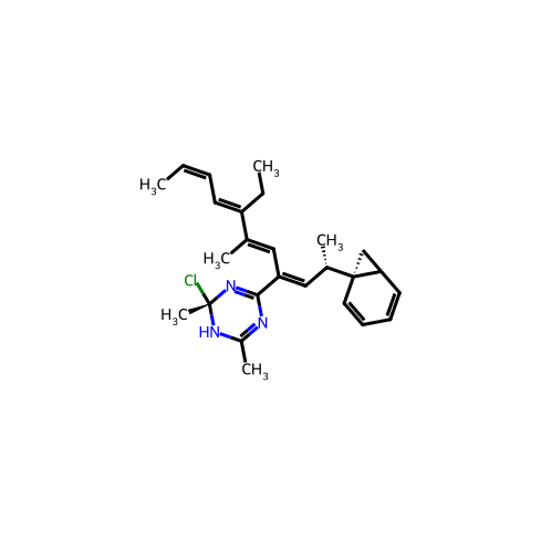 C\C=C/C=C(CC)/C(C)=C/C(=C\[C@H](C)[C@]12C=CC=CC1C2)C1=N[C@@](C)(Cl)NC(C)=N1